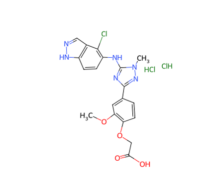 COc1cc(-c2nc(Nc3ccc4[nH]ncc4c3Cl)n(C)n2)ccc1OCC(=O)O.Cl.Cl